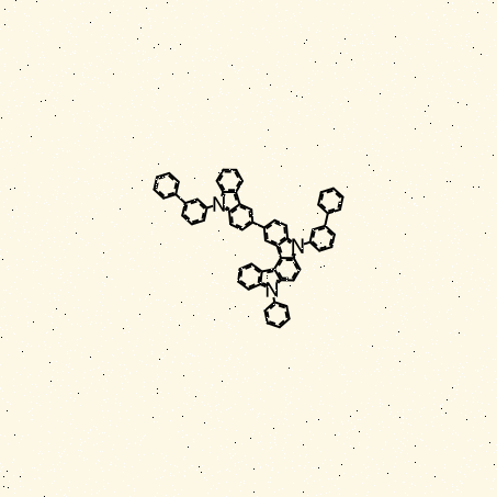 c1ccc(-c2cccc(-n3c4ccccc4c4cc(-c5ccc6c(c5)c5c7c8ccccc8n(-c8ccccc8)c7ccc5n6-c5cccc(-c6ccccc6)c5)ccc43)c2)cc1